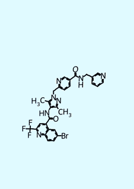 Cc1nn(Cc2ccc(C(=O)NCc3cccnc3)cn2)c(C)c1NC(=O)c1cc(C(F)(F)F)nc2ccc(Br)cc12